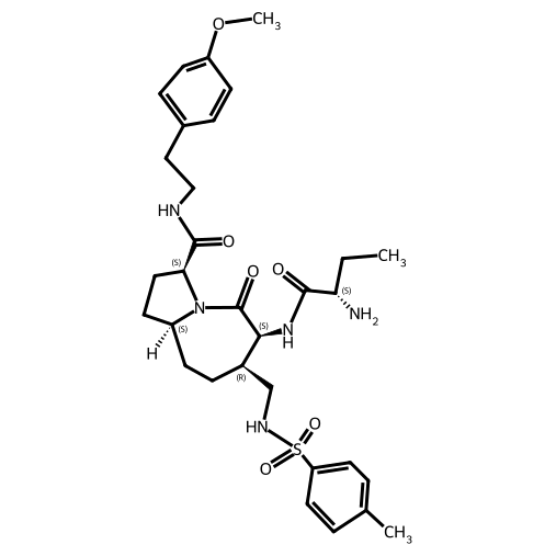 CC[C@H](N)C(=O)N[C@@H]1C(=O)N2[C@@H](CC[C@@H]1CNS(=O)(=O)c1ccc(C)cc1)CC[C@H]2C(=O)NCCc1ccc(OC)cc1